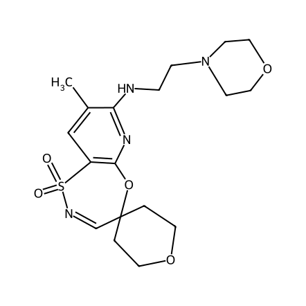 Cc1cc2c(nc1NCCN1CCOCC1)OC1(C=NS2(=O)=O)CCOCC1